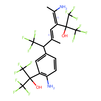 C/C(N)=C(\C=C(/C)C(c1ccc(N)c(C(O)(C(F)(F)F)C(F)(F)F)c1)C(F)(F)F)C(O)(C(F)(F)F)C(F)(F)F